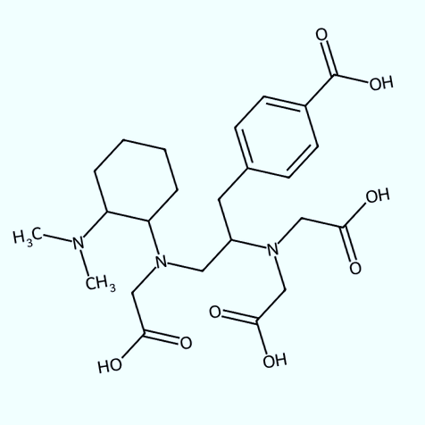 CN(C)C1CCCCC1N(CC(=O)O)CC(Cc1ccc(C(=O)O)cc1)N(CC(=O)O)CC(=O)O